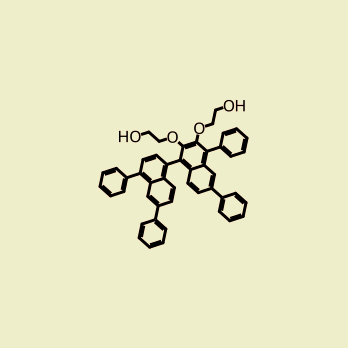 OCCOc1c(OCCO)c(-c2ccc(-c3ccccc3)c3cc(-c4ccccc4)ccc23)c2ccc(-c3ccccc3)cc2c1-c1ccccc1